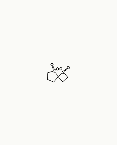 O=S1(=O)CCCC12CCS2(=O)=O